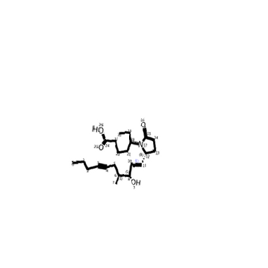 CCCC#CC[C@H](C)[C@H](O)/C=C/[C@H]1CCC(=O)N1C(CC)CCCC(=O)O